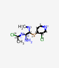 C=N/C(Sc1ccncc1Cl)=C(N)\N=C(/C)Cl